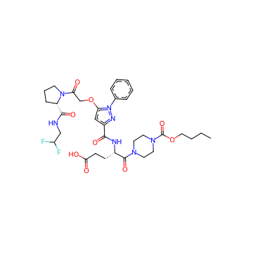 CCCCOC(=O)N1CCN(C(=O)[C@H](CCC(=O)O)NC(=O)c2cc(OCC(=O)N3CCC[C@H]3C(=O)NCC(F)F)n(-c3ccccc3)n2)CC1